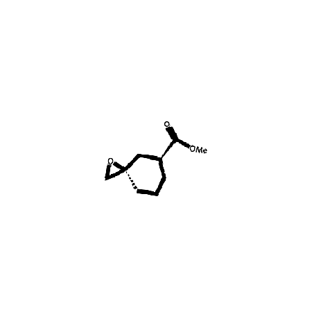 COC(=O)[C@H]1CCC[C@@]2(CO2)C1